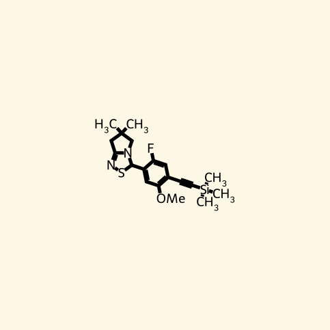 COc1cc(C2SN=C3CC(C)(C)CN32)c(F)cc1C#C[Si](C)(C)C